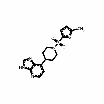 Cc1ccc(S(=O)(=O)N2CCC(c3ccnc4[nH]cnc34)CC2)s1